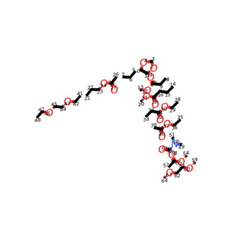 C1COCO1.CCC.CCC(=O)OC.CCCC(=O)OC.CCCOC(C)=O.CCOC(=O)CC.CCOC(C)=O.CCOCCOCC.CN(C)C=O.COC(C)=O.COCCOC